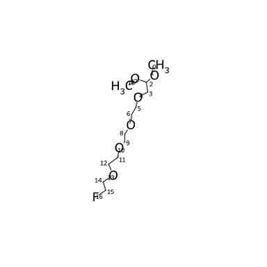 COC(COCCOCCOCCOCCF)OC